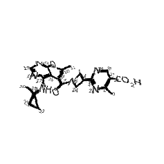 Cc1nc(C2CN(C(=O)c3c(C)oc4ncnc(NC5(C)CC5)c34)C2)ncc1C(=O)O